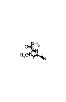 Cn1[c]c(C#N)nc1C(N)=O